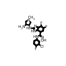 CN1CC(N)[C@H](Nc2nc3c(F)c(F)cc(/C(=N/O)Nc4ccc(F)c(Cl)c4)c3[nH]2)C1